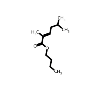 CCCCOC(=O)C(C)=CCC(C)C